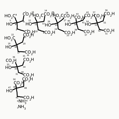 N.N.O=C(O)CC(O)(CC(=O)O)C(=O)O.O=C(O)CC(O)(CC(=O)O)C(=O)O.O=C(O)CC(O)(CC(=O)O)C(=O)O.O=C(O)CC(O)(CC(=O)O)C(=O)O.O=C(O)CC(O)(CC(=O)O)C(=O)O.O=C(O)CC(O)(CC(=O)O)C(=O)O.O=C(O)CC(O)(CC(=O)O)C(=O)O.O=C(O)CC(O)(CC(=O)O)C(=O)O